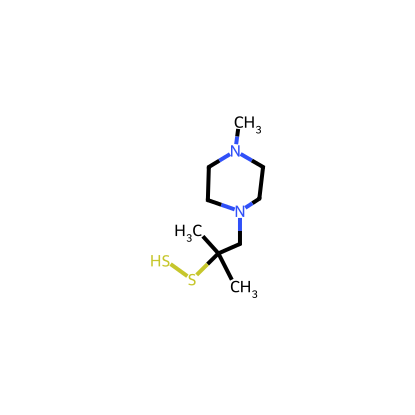 CN1CCN(CC(C)(C)SS)CC1